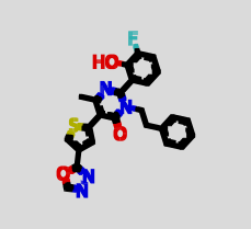 Cc1nc(-c2cccc(F)c2O)n(CCc2ccccc2)c(=O)c1-c1cc(-c2nnco2)cs1